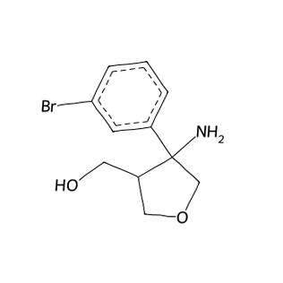 NC1(c2cccc(Br)c2)COCC1CO